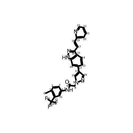 Cc1ccc(NC(=O)Cn2cc(-c3ccc4c(C=Cc5ccccn5)n[nH]c4c3)cn2)cc1C(F)(F)F